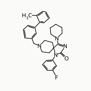 Cc1ccccc1-c1cccc(CN2CCC3(CC2)C(N2CCCCC2)=NC(=O)N3c2cccc(F)c2)c1